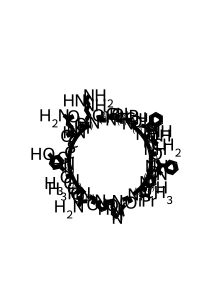 C=C(O)[C@@H]1NC(=O)[C@H](Cc2c[nH]c3ccccc23)NC(=O)[C@@H]2CC[C@H](C)N2C(=O)[C@H](CC(C)C)NC(=O)[C@H](Cc2cnc[nH]2)NC(=O)[C@@H]2CCCN2C(=O)[C@H](CC(N)=O)NC(=O)[C@H](C)N(C)C(=O)[C@H](Cc2ccc(O)cc2)NC(=O)CSCC(C(=O)NCC(N)=O)NC(=O)[C@H](CCCNC(=N)N)NC(=O)[C@H](CCCC)N(C)C(=O)[C@H](CCCC)N(C)C(=O)[C@H](Cc2c[nH]c3ccccc23)NC1=O